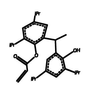 C=CC(=O)Oc1c(C(C)C)cc(C(C)C)cc1C(C)c1cc(C(C)C)cc(C(C)C)c1O